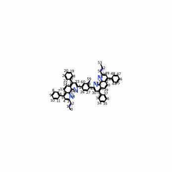 C/C=C/c1cc(-c2ccccc2)c2ccc3c(-c4ccccc4)cc(-c4ccc(-c5cc(-c6ccccc6)c6ccc7c(-c8ccccc8)cc(/C=C/C)nc7c6n5)c(C)c4)nc3c2n1